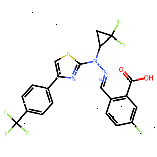 O=C(O)c1cc(F)ccc1/C=N/N(c1nc(-c2ccc(C(F)(F)F)cc2)cs1)C1CC1(F)F